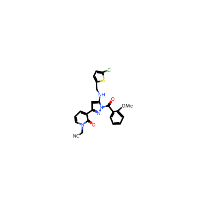 COc1ccccc1C(=O)n1nc(-c2cccn(CC#N)c2=O)cc1NCc1ccc(Cl)s1